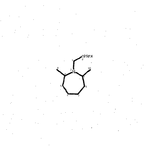 CCCCCCCN1C(C)CCCCC1C